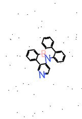 c1ccc2c(c1)B1c3ccccc3-c3cnccc3N1c1ccccc1-2